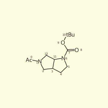 CC(=O)N1CC2CCN(C(=O)OC(C)(C)C)C2C1